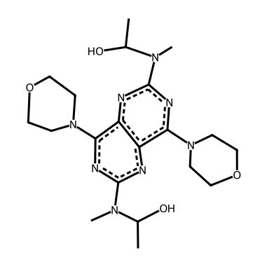 CC(O)N(C)c1nc(N2CCOCC2)c2nc(N(C)C(C)O)nc(N3CCOCC3)c2n1